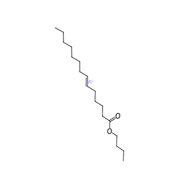 CCCCCCC/C=C/CCCCC(=O)OCCCC